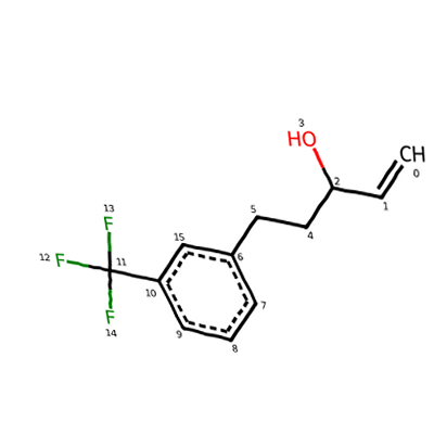 [CH]=CC(O)CCc1cccc(C(F)(F)F)c1